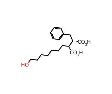 O=C(O)[C@@H](CCCCCCCO)[C@H](Cc1ccccc1)C(=O)O